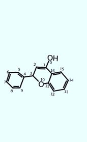 OC1=CC(c2ccccc2)Oc2ccccc21